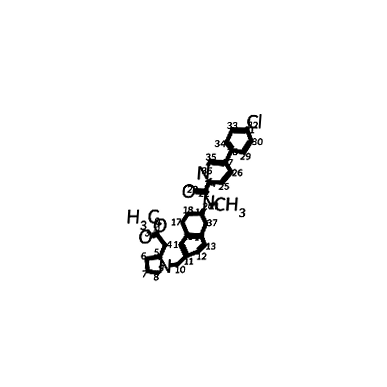 COC(=O)CC1CCCN1Cc1ccc2c(c1)CCC(N(C)C(=O)c1ccc(-c3ccc(Cl)cc3)cn1)C2